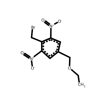 CCOCc1cc([N+](=O)[O-])c(CBr)c([N+](=O)[O-])c1